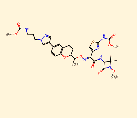 CC(C)(C)OC(=O)NCCCn1cc(-c2ccc3c(c2)CCC(C(ON=C(C(=O)NC2C(=O)N(OS(=O)(=O)O)C2(C)C)c2csc(NC(=O)OC(C)(C)C)n2)C(=O)O)O3)cn1